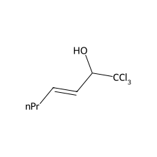 CCCC=CC(O)C(Cl)(Cl)Cl